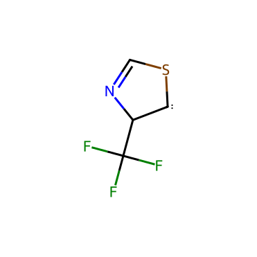 FC(F)(F)C1[C]SC=N1